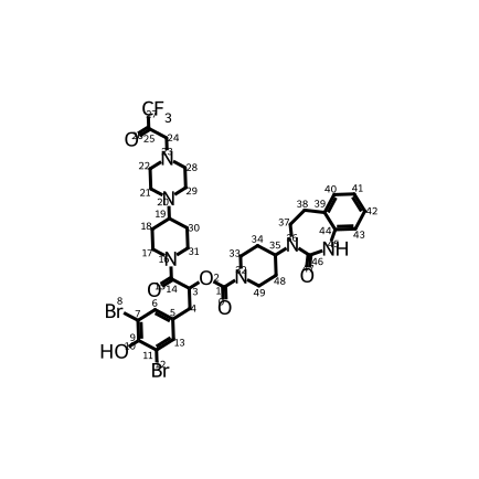 O=C(OC(Cc1cc(Br)c(O)c(Br)c1)C(=O)N1CCC(N2CCN(CC(=O)C(F)(F)F)CC2)CC1)N1CCC(N2CCc3ccccc3NC2=O)CC1